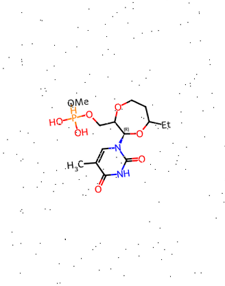 CCC1CCOC(CO[PH](O)(O)OC)[C@H](n2cc(C)c(=O)[nH]c2=O)O1